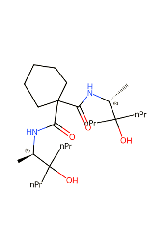 CCCC(O)(CCC)[C@@H](C)NC(=O)C1(C(=O)N[C@H](C)C(O)(CCC)CCC)CCCCC1